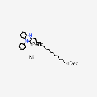 CCCCCCCCCCCCCCCCCCCCCCC=CC(=Nc1ccccc1)C(CCCCC)=Nc1ccccc1.[Ni]